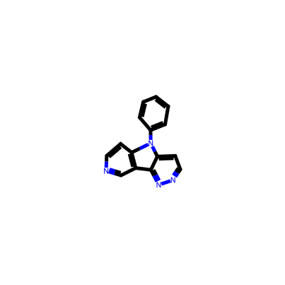 c1ccc(-n2c3ccncc3c3nnccc32)cc1